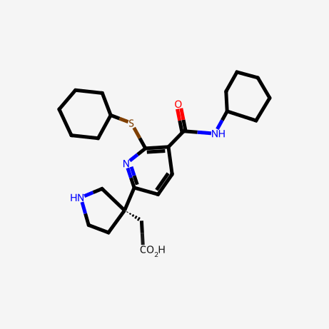 O=C(O)C[C@]1(c2ccc(C(=O)NC3CCCCC3)c(SC3CCCCC3)n2)CCNC1